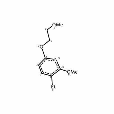 CCc1ccc(OCCOC)nc1OC